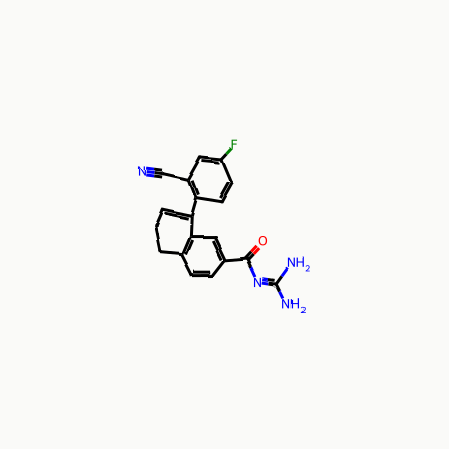 N#Cc1cc(F)ccc1C1=CCCc2ccc(C(=O)N=C(N)N)cc21